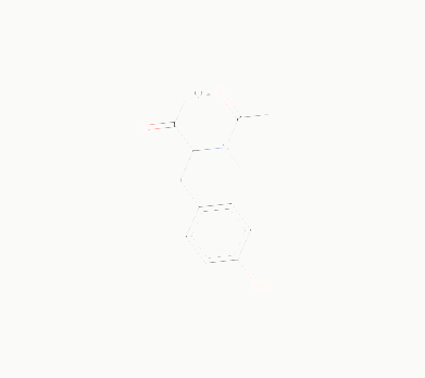 COC(=O)C(Cc1ccc(O)cc1)N(Br)C(=O)C(F)(F)F